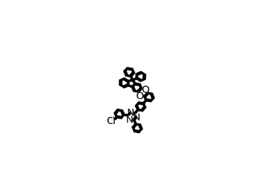 Clc1cccc(-c2nc(-c3ccccc3)nc(-c3ccc(-c4cccc5c4Oc4cc6c(cc4O5)C(c4ccccc4)(c4ccccc4)c4ccccc4-6)cc3)n2)c1